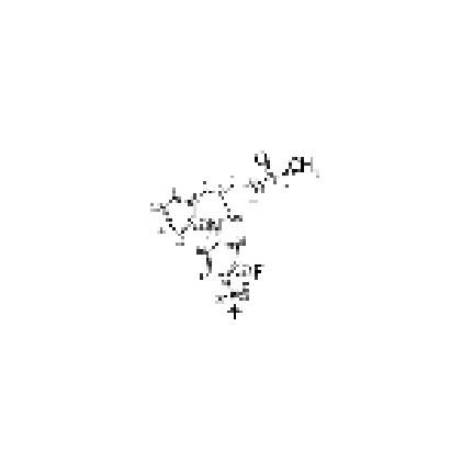 C=CC(=O)NCC1Cc2ccccc2N(c2ccc(C(F)(F)F)c(F)c2)C1